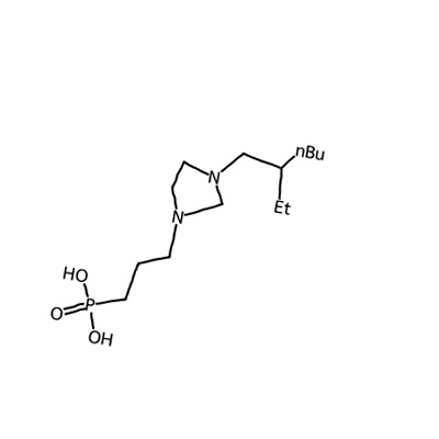 CCCCC(CC)CN1CCN(CCCP(=O)(O)O)C1